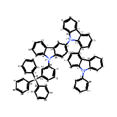 c1ccc(-n2c3ccccc3c3c(-c4cccc5c6ccccc6n(-c6ccc7c(c6)c6ccccc6n7-c6cccc([Si](c7ccccc7)(c7ccccc7)c7ccccc7)c6)c45)cccc32)cc1